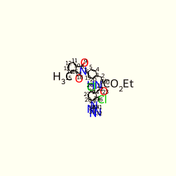 CCOC(=O)[C@H](Cc1ccc(N2C(=O)c3cccc(C)c3C2=O)cc1)NC(=O)c1c(Cl)ccc(-n2cnnn2)c1Cl